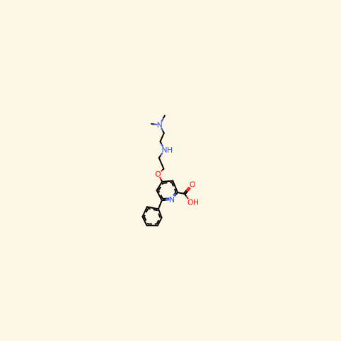 CN(C)CCNCCOc1cc(C(=O)O)nc(-c2ccccc2)c1